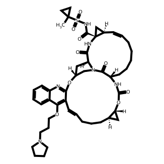 CC1(S(=O)(=O)NC(=O)[C@@]23C[C@H]2/C=C\CCCCC[C@@H]2NC(=O)O[C@@H]4C[C@H]4CCC/C=C/c4c(nc5ccccc5c4OCCCN4CCCC4)O[C@@H]4C[C@@H](C(=O)N3)N(C4)C2=O)CC1